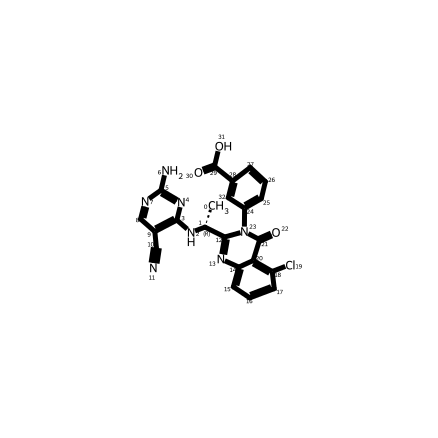 C[C@@H](Nc1nc(N)ncc1C#N)c1nc2cccc(Cl)c2c(=O)n1-c1cccc(C(=O)O)c1